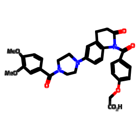 COc1ccc(C(=O)N2CCN(c3ccc4c(c3)CCC(=O)N4C(=O)c3ccc(OCC(=O)O)cc3)CC2)cc1OC